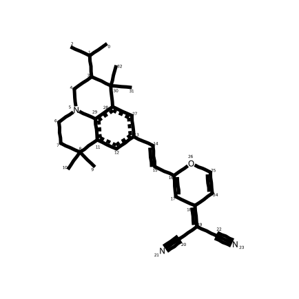 CC(C)C1CN2CCC(C)(C)c3cc(C=CC4=CC(=C(C#N)C#N)C=CO4)cc(c32)C1(C)C